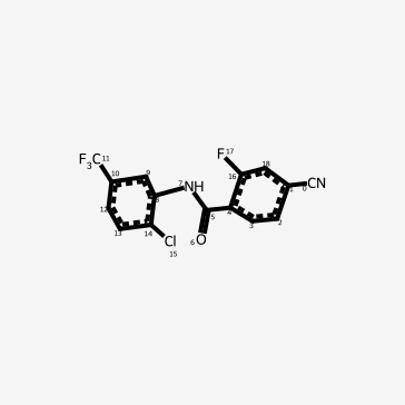 N#Cc1ccc(C(=O)Nc2cc(C(F)(F)F)ccc2Cl)c(F)c1